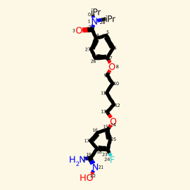 CC(C)N(C(=O)c1ccc(OCCCCCOc2ccc(C(N)=NO)c(F)c2)cc1)C(C)C